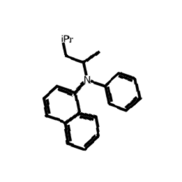 CC(C)CC(C)N(c1ccccc1)c1cccc2ccccc12